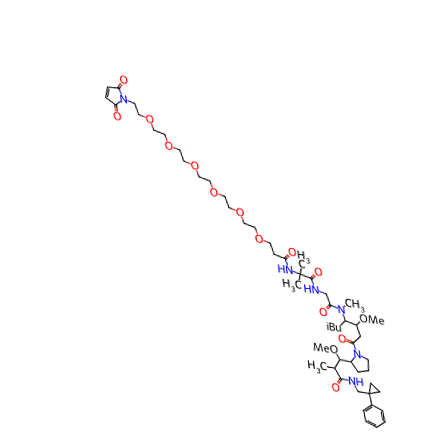 CCC(C)C(C(CC(=O)N1CCCC1C(OC)C(C)C(=O)NCC1(c2ccccc2)CC1)OC)N(C)C(=O)CNC(=O)C(C)(C)NC(=O)CCOCCOCCOCCOCCOCCOCCN1C(=O)C=CC1=O